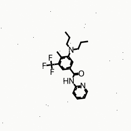 CCCN(CCC)c1cc(C(=O)Nc2ccccn2)cc(C(F)(F)F)c1C